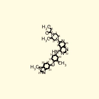 C=CC(=O)N1CCN(c2cc3c(Nc4ccc(Oc5ccc6c(c5)ncn6C)c(C)c4)ncnc3cn2)CC1C